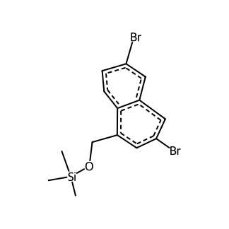 C[Si](C)(C)OCc1cc(Br)cc2cc(Br)ccc12